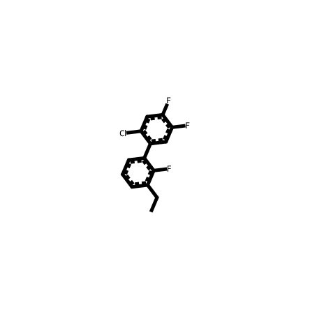 CCc1cccc(-c2cc(F)c(F)cc2Cl)c1F